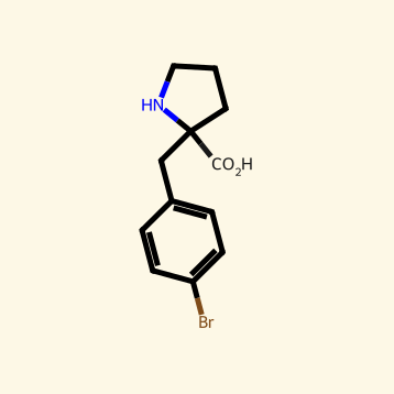 O=C(O)C1(Cc2ccc(Br)cc2)CCCN1